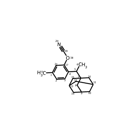 Cc1ccc(C(C)C23CC4CC(CC(C4)C2)C3)c(OC#N)c1